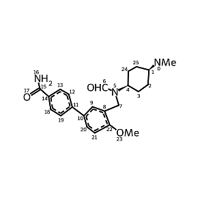 CN[C@H]1CC[C@@H](N(C=O)Cc2cc(-c3ccc(C(N)=O)cc3)ccc2OC)CC1